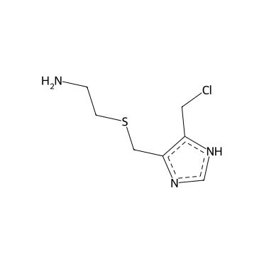 NCCSCc1nc[nH]c1CCl